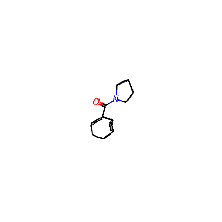 O=C(C1=CCCC=C1)N1CCCC1